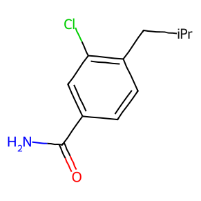 CC(C)Cc1ccc(C(N)=O)cc1Cl